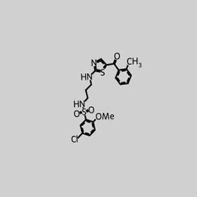 COc1ccc(Cl)cc1S(=O)(=O)NCCCNc1ncc(C(=O)c2ccccc2C)s1